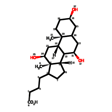 C[C@@]12C(CCCC(=O)O)CC[C@H]1C1[C@H](O)CC3C[C@H](O)CC[C@]3(C)[C@H]1C[C@@H]2O